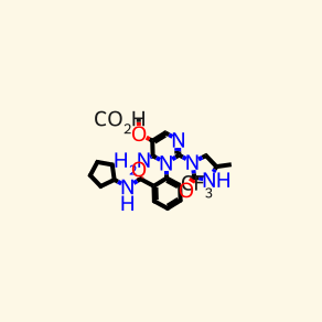 CC1CN(C2=NC=C(OC(=O)O)C(N)N2c2c(C(=O)NC3CCCC3)cccc2C(F)(F)F)C(=O)N1